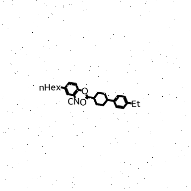 CCCCCCc1ccc(OC(=O)C2CCC(c3ccc(CC)cc3)CC2)c(C#N)c1